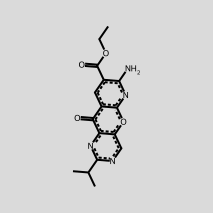 CCOC(=O)c1cc2c(=O)c3nc(C(C)C)ncc3oc2nc1N